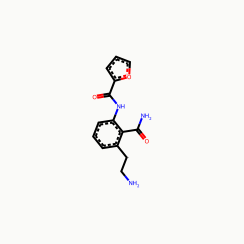 NC[CH]c1cccc(NC(=O)c2ccco2)c1C(N)=O